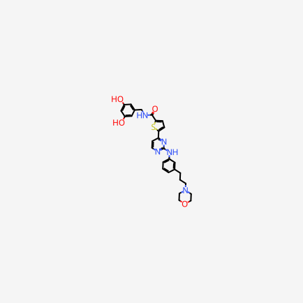 O=C(NCc1cc(O)cc(O)c1)c1ccc(-c2ccnc(Nc3cccc(CCCN4CCOCC4)c3)n2)s1